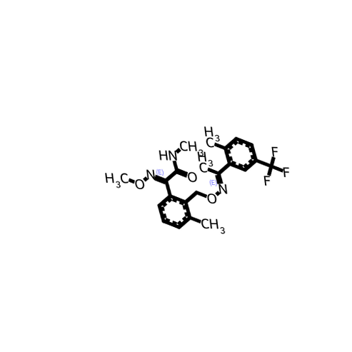 CNC(=O)/C(=N/OC)c1cccc(C)c1CO/N=C(\C)c1cc(C(F)(F)F)ccc1C